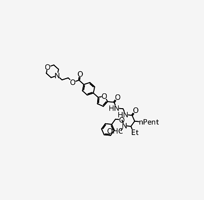 CCCCCC(C(=O)NCNC(=O)c1ccc(-c2ccc(C(=O)OCCN3CCOCC3)cc2)o1)C(CC)N(C=O)OCc1ccccc1